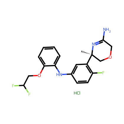 C[C@@]1(c2cc(Nc3ccccc3OCC(F)F)ccc2F)COCC(N)=N1.Cl